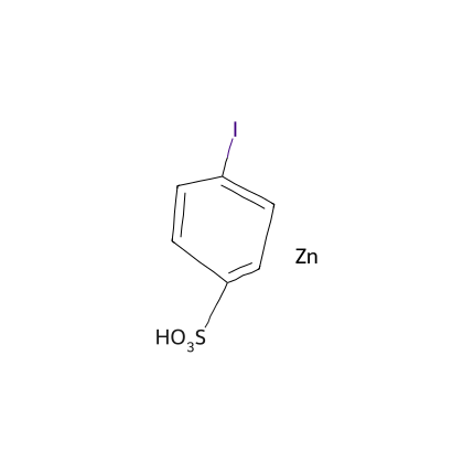 O=S(=O)(O)c1ccc(I)cc1.[Zn]